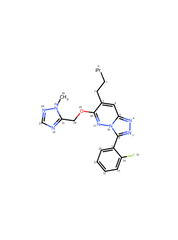 CC(C)CCc1cc2nnc(-c3ccccc3F)n2nc1OCc1ncnn1C